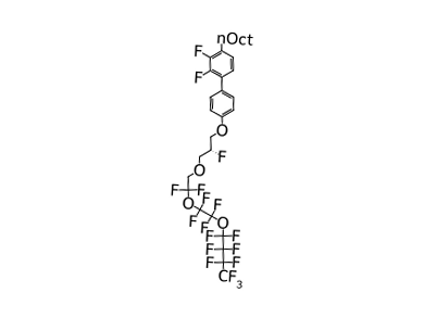 CCCCCCCCc1ccc(-c2ccc(OC[C@H](F)COCC(F)(F)OC(F)(F)C(F)(F)OC(F)(F)C(F)(F)C(F)(F)C(F)(F)F)cc2)c(F)c1F